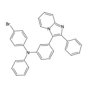 Brc1ccc(N(c2ccccc2)c2cccc(-c3c(-c4ccccc4)nc4ccccn34)c2)cc1